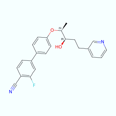 C[C@H](Oc1ccc(-c2ccc(C#N)c(F)c2)cc1)[C@H](O)CCc1cccnc1